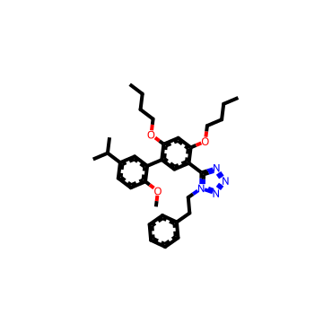 CCCCOc1cc(OCCCC)c(-c2nnnn2CCc2ccccc2)cc1-c1cc(C(C)C)ccc1OC